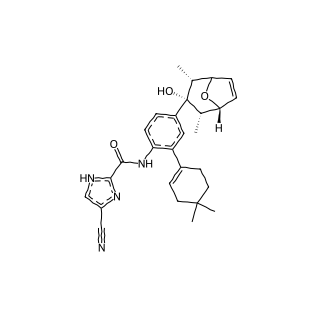 C[C@@H]1C2C=C[C@@H](O2)[C@H](C)[C@@]1(O)c1ccc(NC(=O)c2nc(C#N)c[nH]2)c(C2=CCC(C)(C)CC2)c1